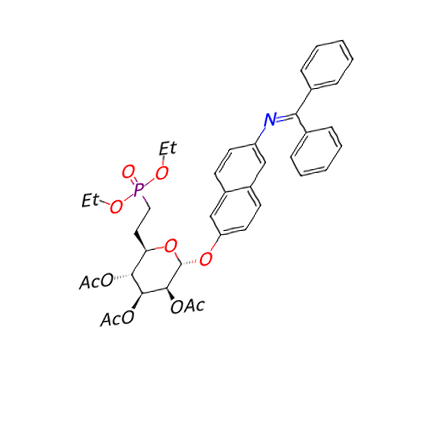 CCOP(=O)(CC[C@H]1O[C@H](Oc2ccc3cc(N=C(c4ccccc4)c4ccccc4)ccc3c2)[C@@H](OC(C)=O)[C@@H](OC(C)=O)[C@@H]1OC(C)=O)OCC